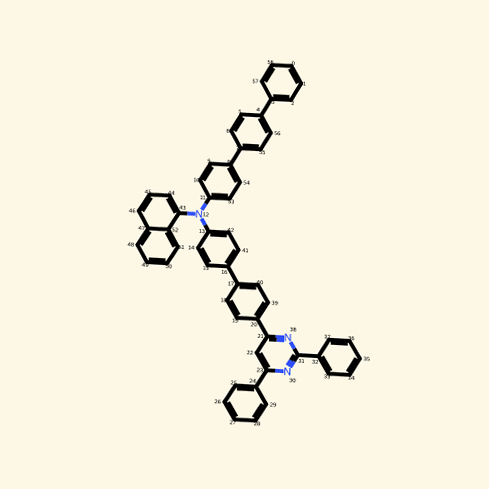 c1ccc(-c2ccc(-c3ccc(N(c4ccc(-c5ccc(-c6cc(-c7ccccc7)nc(-c7ccccc7)n6)cc5)cc4)c4cccc5ccccc45)cc3)cc2)cc1